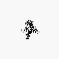 C[C@@H](C(=O)NC[C@H](c1ccc(Cl)c(-c2ncnn2C(F)F)c1)N1C(=N)N[C@](CC(C)(C)C(F)(F)F)(c2ccc(-c3cnn(C4CC4)n3)cc2)C1=O)C(F)(F)F